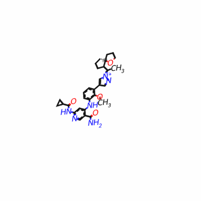 COc1c(Nc2cc(NC(=O)C3CC3)ncc2C(N)=O)cccc1C1=C/[N+](=C(/C)C2CCC[C@@]23CCCO3)N=C1